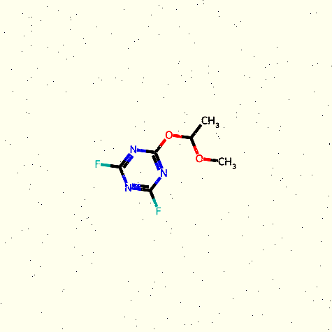 COC(C)Oc1nc(F)nc(F)n1